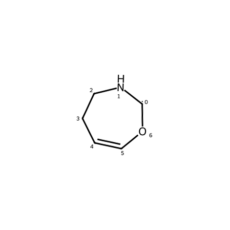 [CH]1NCCC=CO1